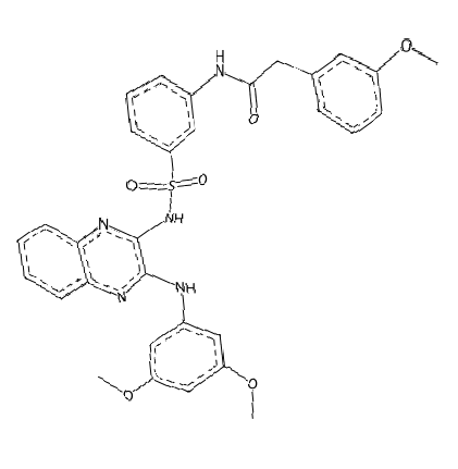 COc1cccc(CC(=O)Nc2cccc(S(=O)(=O)Nc3nc4ccccc4nc3Nc3cc(OC)cc(OC)c3)c2)c1